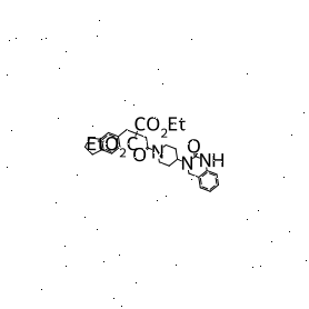 CCOC(=O)C(CC(=O)N1CCC(N2Cc3ccccc3NC2=O)CC1)(Cc1ccc2c(c1)CCC2)C(=O)OCC